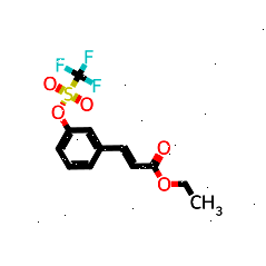 CCOC(=O)C=Cc1cccc(OS(=O)(=O)C(F)(F)F)c1